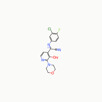 N#C/C(=N\c1ccc(F)c(Cl)c1)c1ccnc(N2CCOCC2)c1O